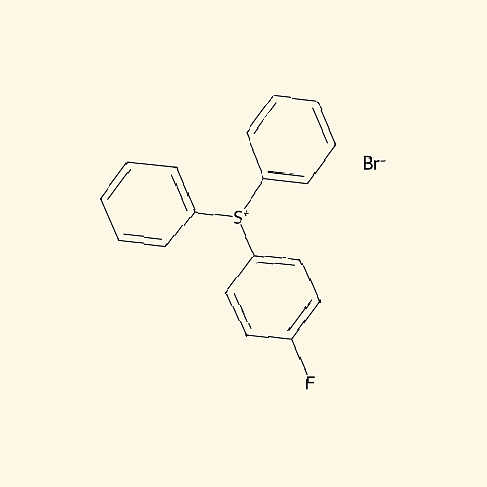 Fc1ccc([S+](c2ccccc2)c2ccccc2)cc1.[Br-]